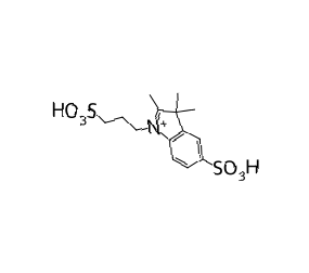 CC1=[N+](CCCS(=O)(=O)O)c2ccc(S(=O)(=O)O)cc2C1(C)C